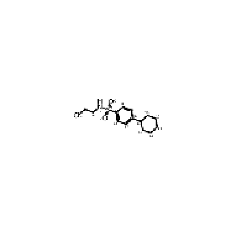 O=S(=O)(NCCCl)c1ccc(C2CCCCC2)cc1